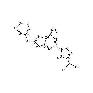 Nc1nc(-c2ccc(C(F)F)o2)nc2sc(Cc3ccccc3)cc12